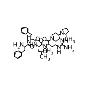 CC(C)C[C@@H](NC(=O)[C@@H](Cc1ccccc1)NC(=O)[C@H](N)Cc1ccccc1)C(=O)N[C@H](CCNC(=N)N)C(=O)N1CCC(N2CCC[C@H]2C)CC1